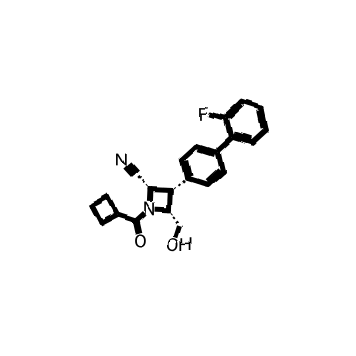 N#C[C@@H]1[C@H](c2ccc(-c3ccccc3F)cc2)[C@H](CO)N1C(=O)C1CCC1